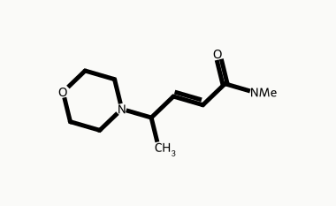 CNC(=O)C=CC(C)N1CCOCC1